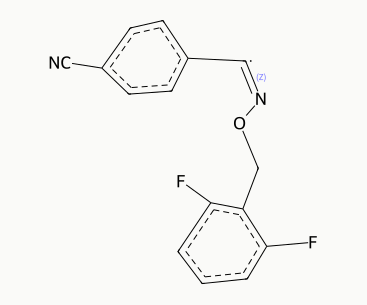 N#Cc1ccc(/[C]=N\OCc2c(F)cccc2F)cc1